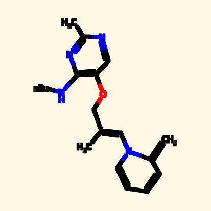 C=C1C=CC=CN1/C=C(\C)COc1cnc(C)nc1NCCCC